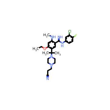 CCOc1cc(NC)c(C(=N)Nc2ccc(F)c(Cl)c2)cc1C(C)(C)N1CCN(CCC#N)CC1